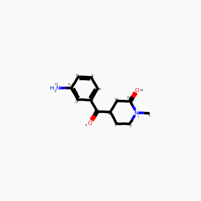 CN1CCC(C(=O)c2cccc(N)c2)CC1=O